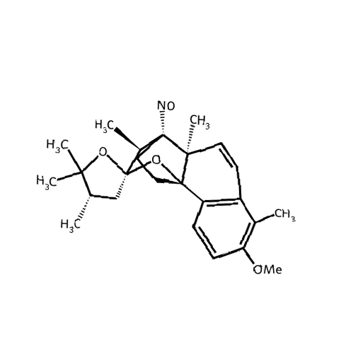 COc1ccc2c(c1C)C=C[C@@]1(C)[C@]23CC[C@]1(N=O)[C@H](C)[C@@]1(C[C@H](C)C(C)(C)O1)O3